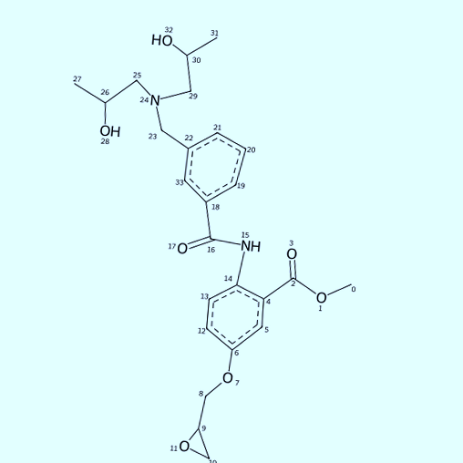 COC(=O)c1cc(OCC2CO2)ccc1NC(=O)c1cccc(CN(CC(C)O)CC(C)O)c1